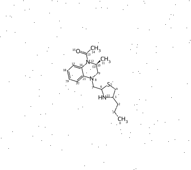 CCCC1CSC(CN2C[C@H](C)N(C(C)=O)c3ccccc32)N1